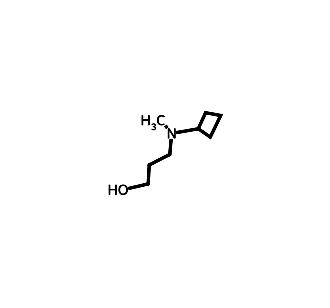 CN(CCCO)C1CCC1